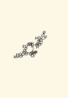 CC[C@H]1OC(=O)[C@H](C)C(O[C@@H]2C[C@](C)(OC)[C@H](O)C(C)O2)[C@H](C)C(O[C@@H]2O[C@H](C)CC(N(C)C)[C@H]2O)[C@](C)(O)C[C@@H](C)CN(CCCNC(=O)[C@@]2(O)[C@H](C)CC3C4C[C@H](F)C5=CC(=O)C=C[C@]5(C)[C@@]4(Cl)[C@@H](O)C[C@@]32C)[C@H](C)[C@@H](O)[C@]1(C)O